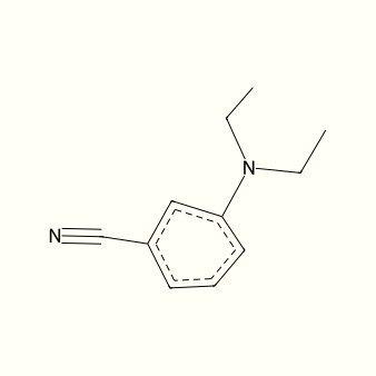 CCN(CC)c1cccc(C#N)c1